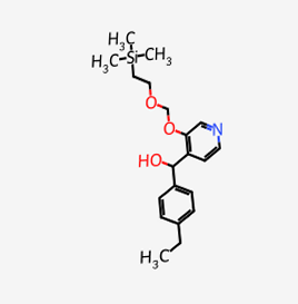 CCc1ccc(C(O)c2ccncc2OCOCC[Si](C)(C)C)cc1